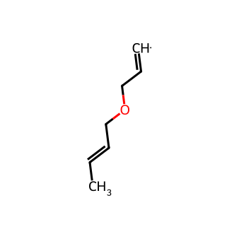 [CH]=CCOC/C=C/C